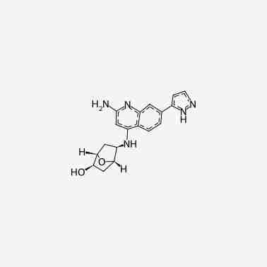 Nc1cc(N[C@@H]2C[C@@H]3O[C@H]2C[C@H]3O)c2ccc(-c3ccn[nH]3)cc2n1